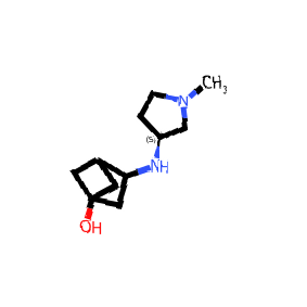 CN1CC[C@H](NC2CC3(O)CC2C3)C1